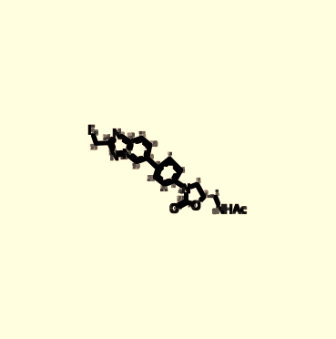 CC(=O)NC[C@H]1CN(c2ccc(-c3ccc4nc(CF)nn4c3)cc2)C(=O)O1